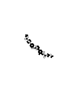 Cc1cc(-c2ccnc(Nc3ccc(N4CCN(C(=O)OC(C)(C)C)CC4)cc3)n2)ccc1CNC(=O)N1CC(OC(C)C)C1